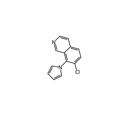 Clc1ccc2ccncc2c1-n1cccc1